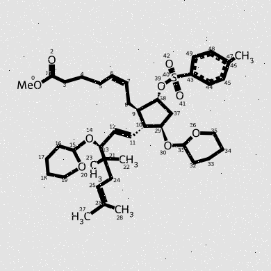 COC(=O)CCC/C=C\C[C@@H]1[C@@H](/C=C/[C@H](OC2CCCCO2)C(C)(C)CC=C(C)C)[C@H](OC2CCCCO2)C[C@H]1OS(=O)(=O)c1ccc(C)cc1